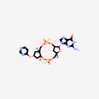 Nc1nc2c(ncn2[C@@H]2O[C@@H]3CO[P@](=O)(S)O[C@H]4C[C@H](Oc5ccncn5)C[C@@H]4CO[P@@](=O)(S)O[C@@H]2C3)c(=O)[nH]1